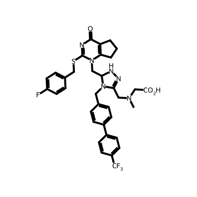 CN(CC(=O)O)CC1=NNC(Cn2c(SCc3ccc(F)cc3)nc(=O)c3c2CCC3)N1Cc1ccc(-c2ccc(C(F)(F)F)cc2)cc1